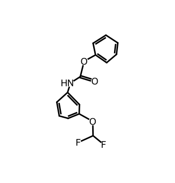 O=C(Nc1cccc(OC(F)F)c1)Oc1ccccc1